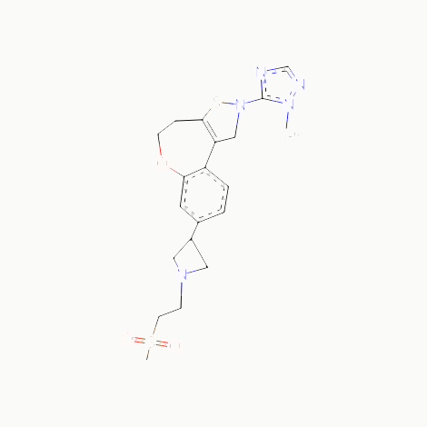 CC(C)n1ncnc1N1CC2=C(CCOc3cc(C4CN(CCS(C)(=O)=O)C4)ccc32)S1